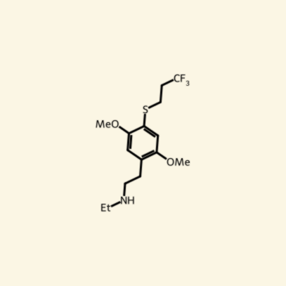 CCNCCc1cc(OC)c(SCCC(F)(F)F)cc1OC